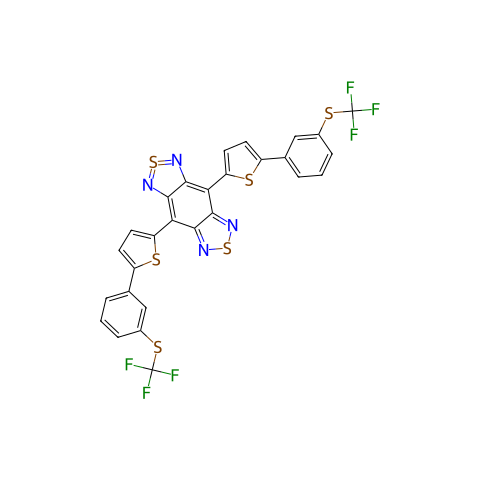 FC(F)(F)Sc1cccc(-c2ccc(-c3c4c(c(-c5ccc(-c6cccc(SC(F)(F)F)c6)s5)c5nsnc35)N=S=N4)s2)c1